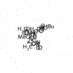 COc1nc(-c2c(C3CC3)c(C)cc3c2cnn3C2CCCCO2)c(F)c2nc(OC[C@]34CCC[C@H]3N(C(=O)OC(C)(C)C)CCC4)nc(N3CCOC[C@@](C)(O)C3)c12